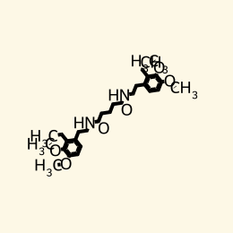 CCc1c(CCNC(=O)CCCC(=O)NCCc2ccc(OC)c(OC)c2CC)ccc(OC)c1OC